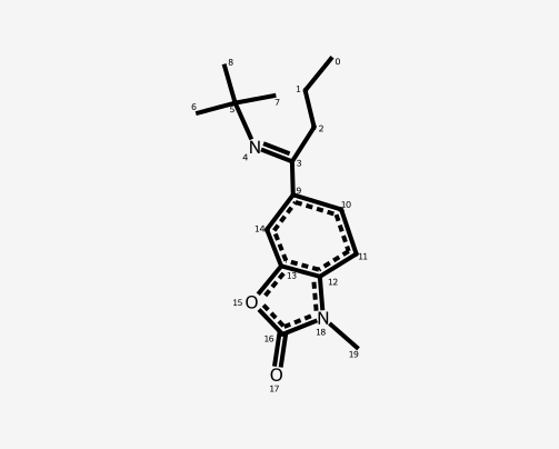 CCCC(=NC(C)(C)C)c1ccc2c(c1)oc(=O)n2C